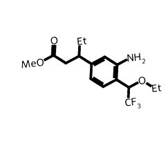 CCOC(c1ccc(C(CC)CC(=O)OC)cc1N)C(F)(F)F